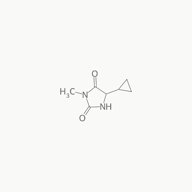 CN1C(=O)NC(C2CC2)C1=O